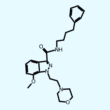 COc1cccc2c(C(=O)NCCCCc3ccccc3)nn(CCN3CCOCC3)c12